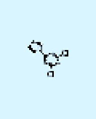 Clc1cc(Cl)cc(-n2[c]ccc2)c1